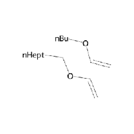 C=COCCCC.C=COCCCCCCCC